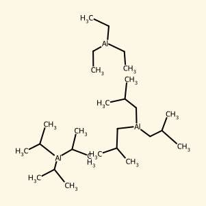 CC(C)[CH2][Al]([CH2]C(C)C)[CH2]C(C)C.C[CH2][Al]([CH2]C)[CH2]C.C[CH](C)[Al]([CH](C)C)[CH](C)C